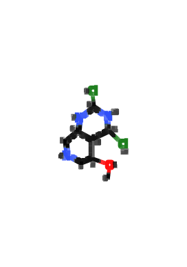 COc1cncc2nc(Cl)nc(Cl)c12